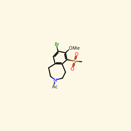 COc1c(Br)cc2c(c1S(C)(=O)=O)CCN(C(C)=O)CC2